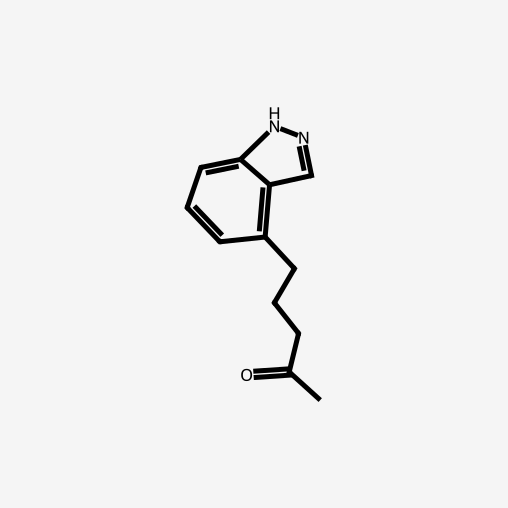 CC(=O)CCCc1cccc2[nH]ncc12